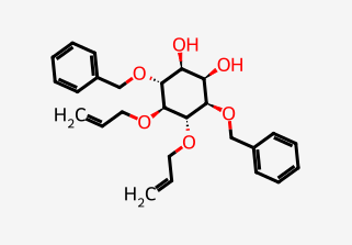 C=CCO[C@@H]1[C@@H](OCC=C)[C@H](OCc2ccccc2)[C@@H](O)[C@@H](O)[C@H]1OCc1ccccc1